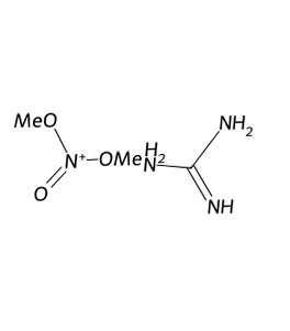 CO[N+](=O)OC.N=C(N)N